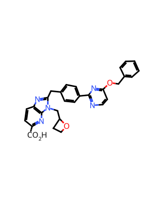 O=C(O)c1ccc2nc(Cc3ccc(-c4nccc(OCc5ccccc5)n4)cc3)n(CC3CCO3)c2n1